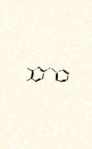 Fc1cc(Cc2ccccc2)ccc1Cl